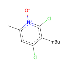 CCCCc1c(Cl)cc(C)[n+]([O-])c1Cl